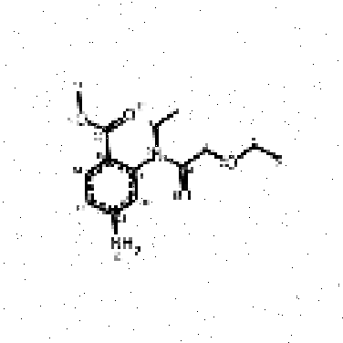 CCOCC(=O)N(CC)c1cc(N)ccc1C(=O)OC